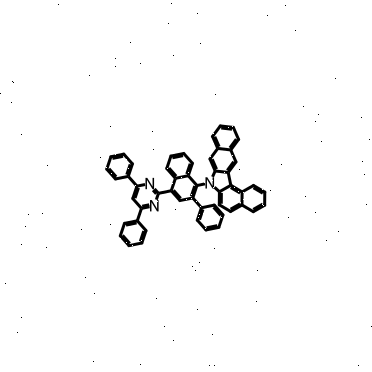 c1ccc(-c2cc(-c3ccccc3)nc(-c3cc(-c4ccccc4)c(-n4c5cc6ccccc6cc5c5c6ccccc6ccc54)c4ccccc34)n2)cc1